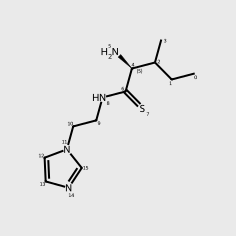 CCC(C)[C@H](N)C(=S)NCCn1ccnc1